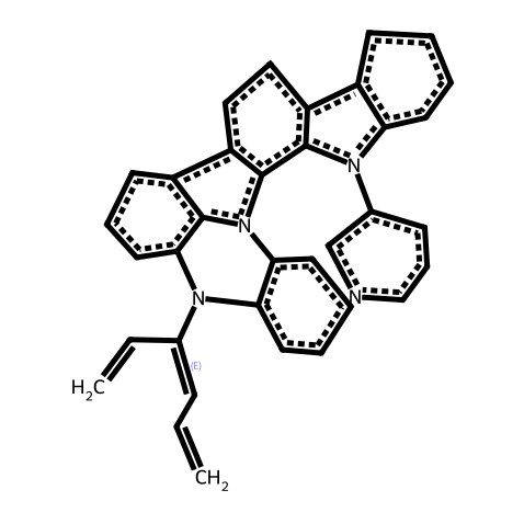 C=C/C=C(\C=C)N1c2ccccc2-n2c3c1cccc3c1ccc3c4ccccc4n(-c4cccnc4)c3c12